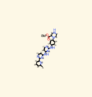 CC[C@@H](C)OC(=O)C1CNCCN1c1ccc(Nc2nccc(Nc3ccnc(-c4cccc(C)n4)n3)n2)cc1